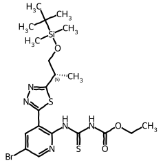 CCOC(=O)NC(=S)Nc1ncc(Br)cc1-c1nnc([C@@H](C)CO[Si](C)(C)C(C)(C)C)s1